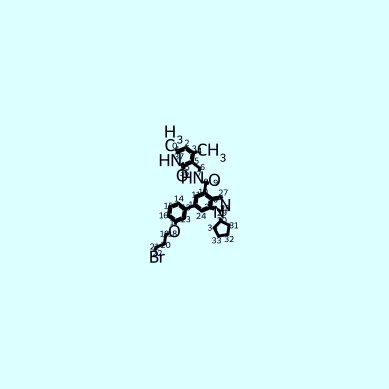 Cc1cc(C)c(CNC(=O)c2cc(-c3cccc(OCCCBr)c3)cc3c2cnn3C2CCCC2)c(=O)[nH]1